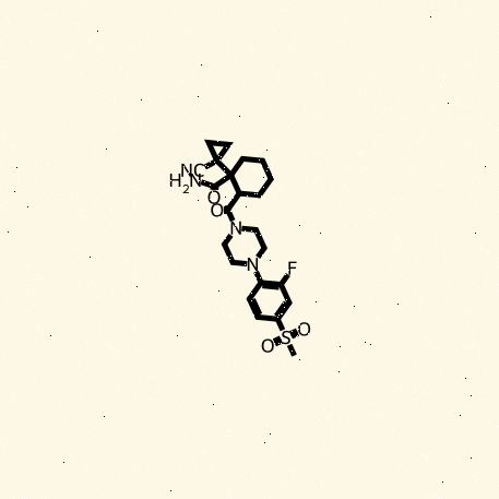 CS(=O)(=O)c1ccc(N2CCN(C(=O)C3CCCCC3(C(N)=O)C3(C#N)CC3)CC2)c(F)c1